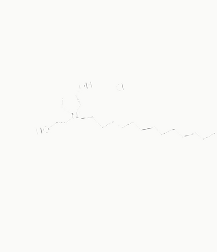 CCCCCCCCCCCCCC[N+](CC)(CCO)CCO.[Cl-]